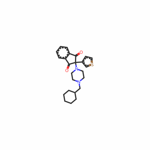 O=C1c2ccccc2C(=O)C1(c1ccsc1)N1CCN(CC2CCCCC2)CC1